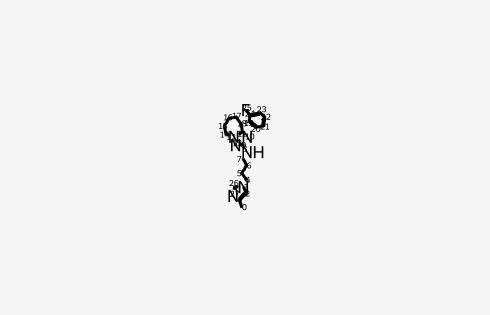 Cc1cn(CCCCNc2nc3n(n2)CCCC[C@@H]3c2ccccc2F)cn1